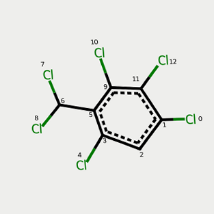 Clc1cc(Cl)c(C(Cl)Cl)c(Cl)c1Cl